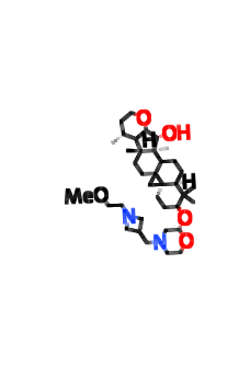 COCCN1CC(CN2CCO[C@@H](O[C@H]3CC[C@]45CC46CC[C@]4(C)[C@@H]7C(OCC[C@H]7C)[C@H](O)[C@@]4(C)C6CC[C@H]5C3(C)C)C2)C1